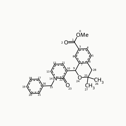 COC(=O)c1ccc2c(c1)C(c1cccn(Cc3ccccc3)c1=O)OC(C)(C)C2